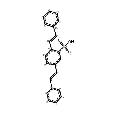 O=S(=O)(O)c1cc(C=Cc2ccccc2)ccc1C=Cc1ccccc1